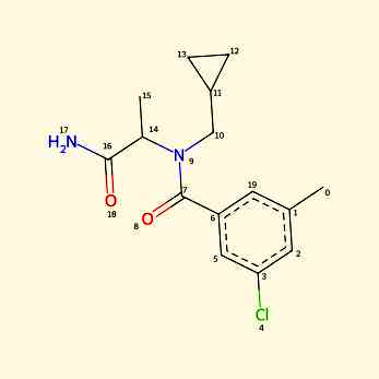 Cc1cc(Cl)cc(C(=O)N(CC2CC2)C(C)C(N)=O)c1